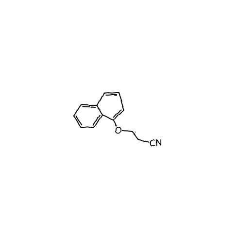 N#CC[CH]Oc1cccc2ccccc12